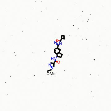 COCCn1cc(C(=O)NC2CCc3cc(-c4noc(C5CCC5)n4)ccc32)cn1